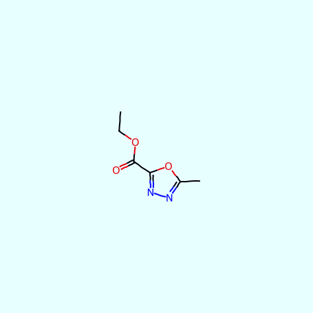 CCOC(=O)c1nnc(C)o1